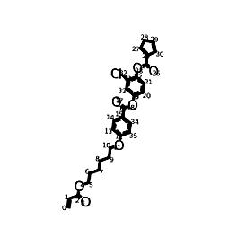 C=CC(=O)OCCCCCCOc1ccc(C(=O)Oc2ccc(OC(=O)C3=CCC=C3)c(Cl)c2)cc1